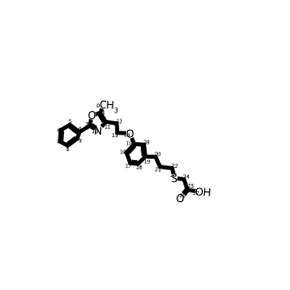 Cc1oc(-c2ccccc2)nc1CCOc1cccc(CCCSCC(=O)O)c1